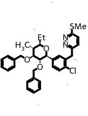 CC[C@H]1O[C@@H](c2ccc(Cl)c(Cc3ccc(SC)nn3)c2)[C@H](OCc2ccccc2)[C@@H](OCc2ccccc2)[C@@H]1C